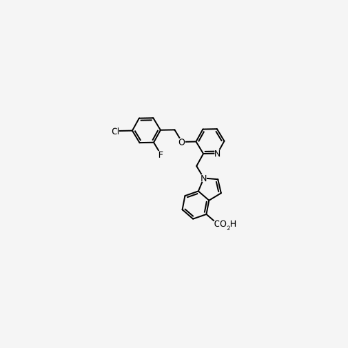 O=C(O)c1cccc2c1ccn2Cc1ncccc1OCc1ccc(Cl)cc1F